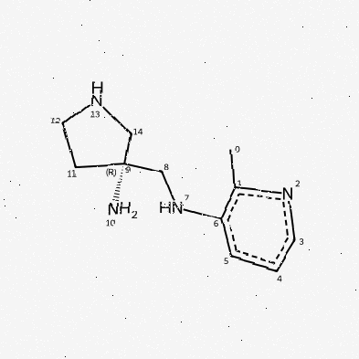 Cc1ncccc1NC[C@@]1(N)CCNC1